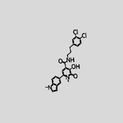 Cn1c(-c2ccc3c(ccn3C)c2)cc(C(=O)NCCCc2ccc(Cl)c(Cl)c2)c(O)c1=O